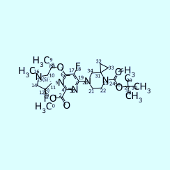 COC(=O)c1nc(O[C@@H](C)[C@@H]2C[C@@H](F)CN2C)c(F)c(N2CCN(C(=O)OC(C)(C)C)C3(CC3)C2)n1